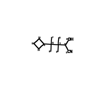 CC(C)(C(O)C#N)C(C)(C)C1CCC1